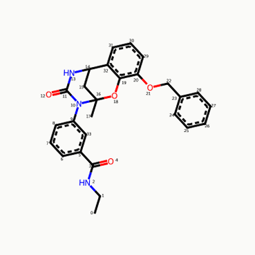 CCNC(=O)c1cccc(N2C(=O)NC3CC2(C)Oc2c(OCc4ccccc4)cccc23)c1